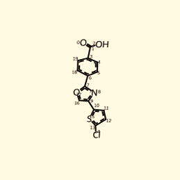 O=C(O)c1ccc(-c2nc(-c3ccc(Cl)s3)co2)cc1